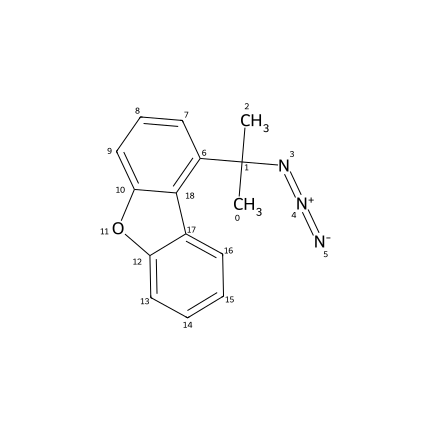 CC(C)(N=[N+]=[N-])c1cccc2oc3ccccc3c12